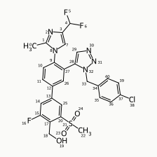 Cc1nc(C(F)F)cn1-c1ccc(-c2cc(F)c(CO)c(S(C)(=O)=O)c2)cc1-c1cnnn1Cc1ccc(Cl)cc1